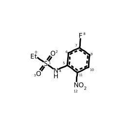 CCS(=O)(=O)Nc1cc(F)ccc1[N+](=O)[O-]